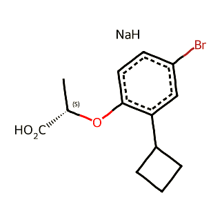 C[C@H](Oc1ccc(Br)cc1C1CCC1)C(=O)O.[NaH]